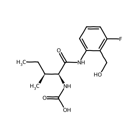 CC[C@H](C)[C@H](NC(=O)O)C(=O)Nc1cccc(F)c1CO